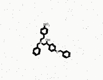 O=[N+]([O-])c1ccc(CCN(Cc2ccccc2)CC(O)c2ccc(OCc3ccccc3)cc2)cc1